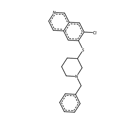 Clc1cc2cnccc2cc1SC1CCCN(Cc2ccccc2)C1